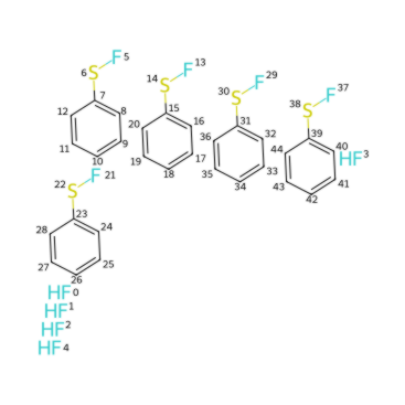 F.F.F.F.F.FSc1ccccc1.FSc1ccccc1.FSc1ccccc1.FSc1ccccc1.FSc1ccccc1